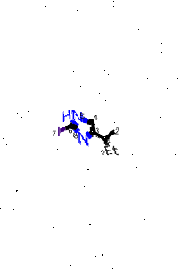 CCC(C)c1c[nH]c(I)n1